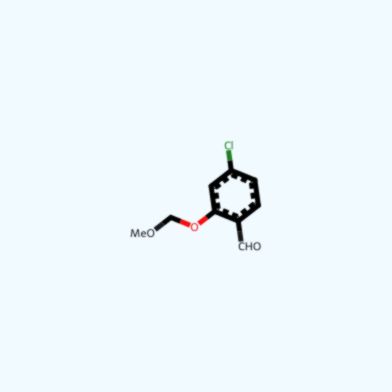 COCOc1cc(Cl)ccc1C=O